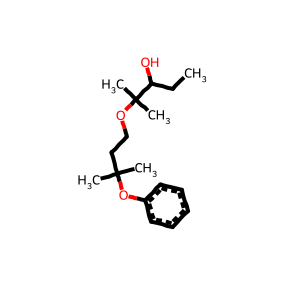 CCC(O)C(C)(C)OCCC(C)(C)Oc1ccccc1